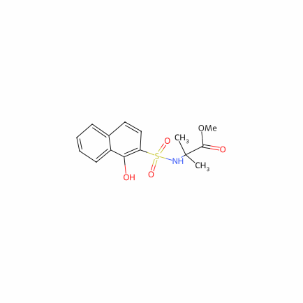 COC(=O)C(C)(C)NS(=O)(=O)c1ccc2ccccc2c1O